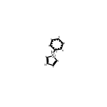 C1=C[SH](c2ccccc2)C=C1